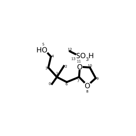 CC(C)(CCO)CC1OCCO1.CS(=O)(=O)O